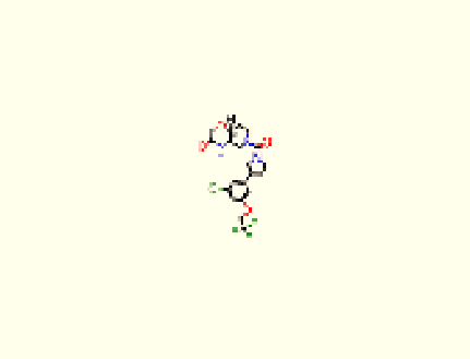 O=C1CO[C@H]2CCN(C(=O)N3CCC(c4cc(Cl)cc(OCC(F)(F)F)c4)C3)CC2N1